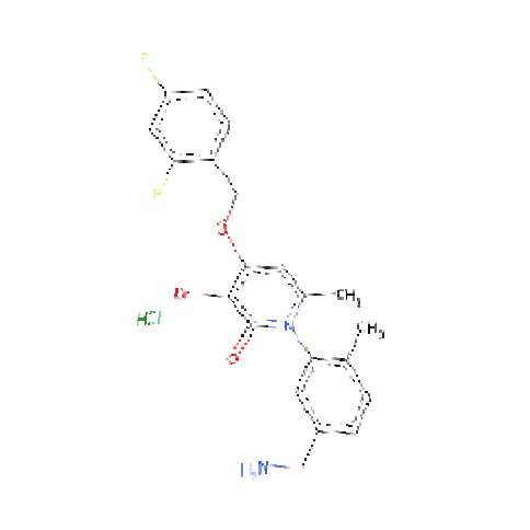 Cc1ccc(CN)cc1-n1c(C)cc(OCc2ccc(F)cc2F)c(Br)c1=O.Cl